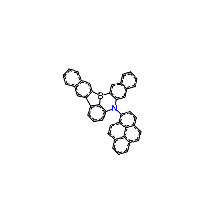 c1cc2c3c(c1)N(c1ccc4ccc5cccc6ccc1c4c56)c1cc4ccccc4cc1B3c1cc3ccccc3cc1-2